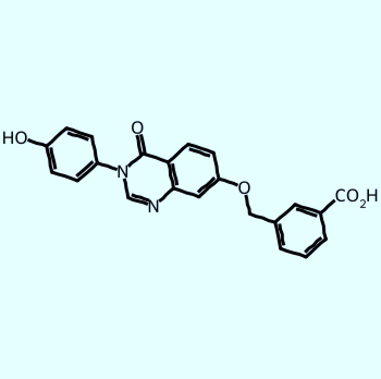 O=C(O)c1cccc(COc2ccc3c(=O)n(-c4ccc(O)cc4)cnc3c2)c1